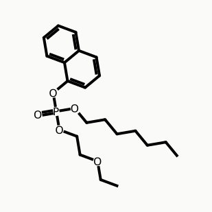 CCCCCCCOP(=O)(OCCOCC)Oc1cccc2ccccc12